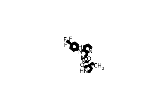 C=C[C@@]1(c2nnc(-c3ncccc3Nc3ccc(C(F)(F)F)cc3)o2)CCNC1=O